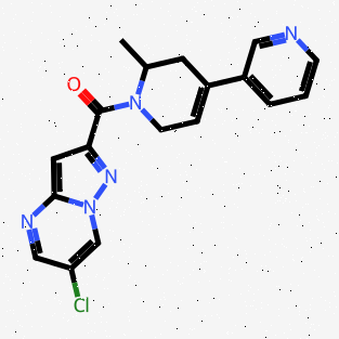 CC1CC(c2cccnc2)=CCN1C(=O)c1cc2ncc(Cl)cn2n1